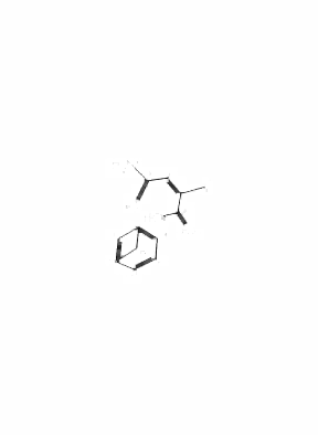 CC(=CC(N)=O)C(=O)O.c1cc2cc(c1)C2